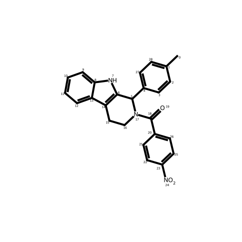 Cc1ccc(C2c3[nH]c4ccccc4c3CCN2C(=O)c2ccc([N+](=O)[O-])cc2)cc1